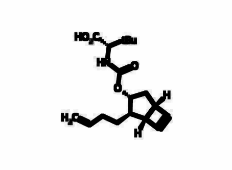 C=CCC[C@@H]1[C@H]2C#C[C@H]2C[C@H]1OC(=O)N[C@H](C(=O)O)C(C)(C)C